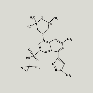 Cc1nc(-c2cn(C)nn2)c2cc(S(=O)(=O)NC3(C)CC3)cc(N3C[C@H](C)NC(C)(C)C3)c2n1